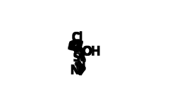 OC1c2cc(Cl)ccc2SC1Cn1ccnc1